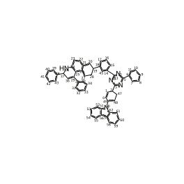 C1=CC(c2nc(-c3ccccc3)nc(-c3cccc(C4C=c5ccc6c(c5=CC4)C(c4ccccc4)=CC(c4ccccc4)N6)c3)n2)CC=C1n1c2ccccc2c2ccccc21